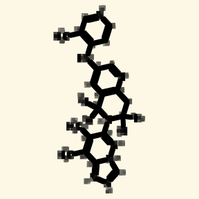 [2H]C1([2H])Cc2ncc(Nc3ccncc3C)cc2C([2H])([2H])N1c1nn2cnnc2c(C)c1C